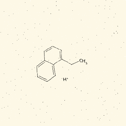 CCc1cccc2ccccc12.[H+]